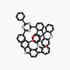 c1ccc(-c2nc(-c3ccccc3)nc(-c3cccc4c3-c3cc(-c5cccc6sc7ccc8c9ccccc9n(-c9ccccc9)c8c7c56)ccc3C43c4ccccc4Oc4ccccc43)n2)cc1